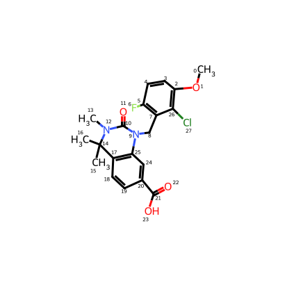 COc1ccc(F)c(CN2C(=O)N(C)C(C)(C)c3ccc(C(=O)O)cc32)c1Cl